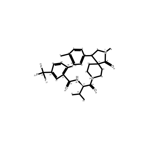 Cc1ccc(C2CN(C)C(=O)C23CCN(C(=O)[C@H](NC(=O)c2cc(C(F)(F)F)ccc2F)C(C)C)CC3)cc1